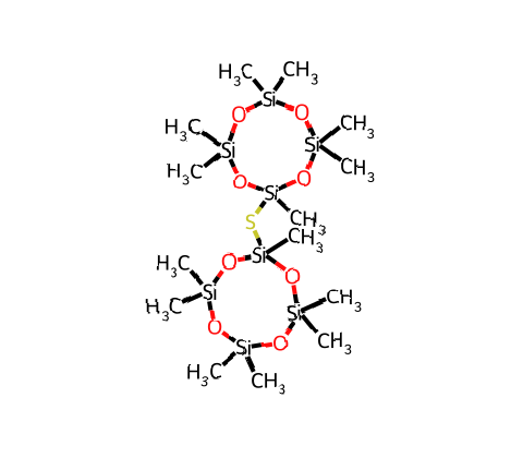 C[Si]1(C)O[Si](C)(C)O[Si](C)(S[Si]2(C)O[Si](C)(C)O[Si](C)(C)O[Si](C)(C)O2)O[Si](C)(C)O1